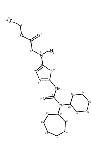 CCOC(=O)CN(C)c1cnc(NC(=O)N(C2CCCCCC2)C2CCCCC2)s1